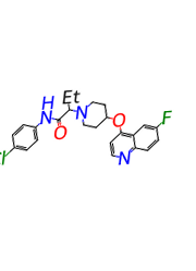 CCC(C(=O)Nc1ccc(Cl)cc1)N1CCC(Oc2ccnc3ccc(F)cc23)CC1